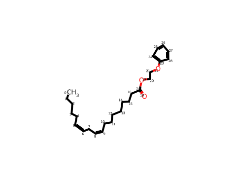 CCCCC/C=C\C/C=C\CCCCCCCC(=O)OCCOc1ccccc1